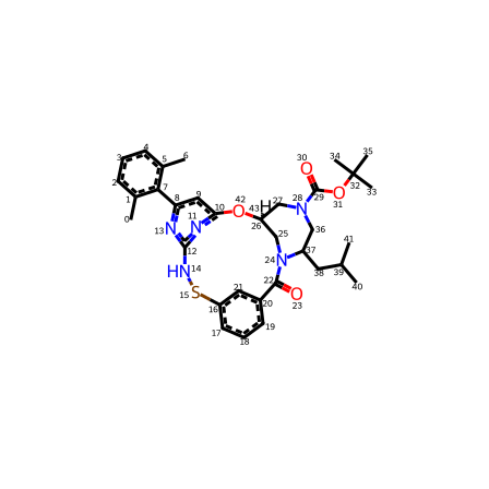 Cc1cccc(C)c1-c1cc2nc(n1)NSc1cccc(c1)C(=O)N1C[C@H](CN(C(=O)OC(C)(C)C)CC1CC(C)C)O2